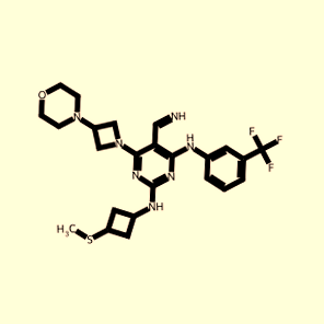 CSC1CC(Nc2nc(Nc3cccc(C(F)(F)F)c3)c(C=N)c(N3CC(N4CCOCC4)C3)n2)C1